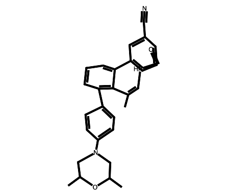 C/C(=C/NC=O)c1c(-c2ccc(N3CC(C)OC(C)C3)cc2)cccc1-c1cccc(C#N)c1